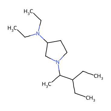 CCC(CC)C(C)N1CCC(N(CC)CC)C1